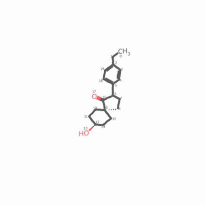 CCc1ccc(C2CC[C@]3(CC[C@H](O)CC3)C2=O)cc1